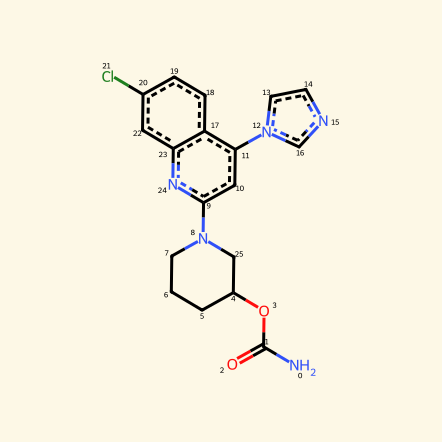 NC(=O)OC1CCCN(c2cc(-n3ccnc3)c3ccc(Cl)cc3n2)C1